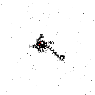 CCCCN(C(=O)CCCCCCCCCCc1ccccc1)[C@@H]1CC[C@H]2[C@H]3Cc4c(O)cc(OC(C)=O)c5c4[C@@]2(CCN3CC2CC2)[C@H]1O5